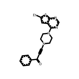 CCc1cc2c(N3CCN(C#CC(=O)c4ccccc4)CC3)ncnc2s1